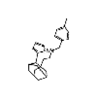 Cc1ccc(CNCCC23CC4CC(CC(C4)C2c2cccs2)C3)cc1